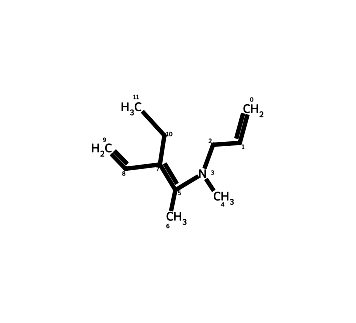 C=CCN(C)/C(C)=C(/C=C)CC